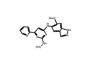 COc1cc2[nH]ncc2cc1Nc1cc(-c2ccccn2)nc(NC=O)n1